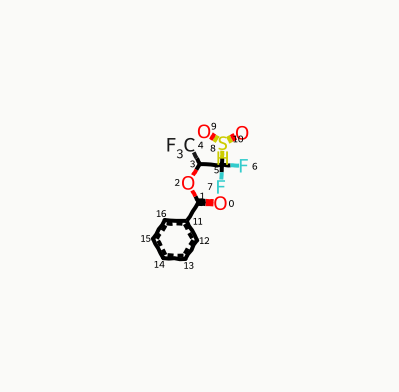 O=C(OC(C(F)(F)F)C(F)(F)[SH](=O)=O)c1ccccc1